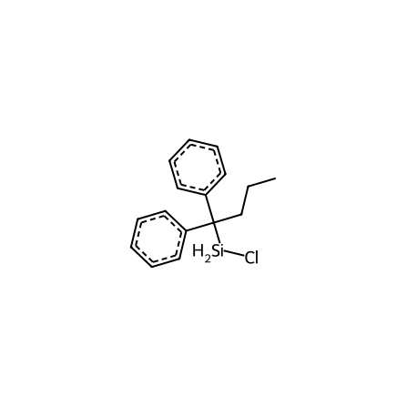 CCCC([SiH2]Cl)(c1ccccc1)c1ccccc1